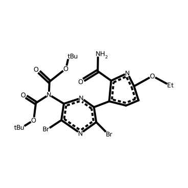 CCOc1ccc(-c2nc(N(C(=O)OC(C)(C)C)C(=O)OC(C)(C)C)c(Br)nc2Br)c(C(N)=O)n1